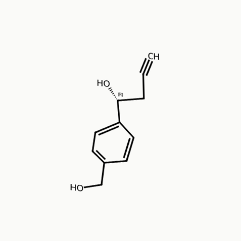 C#CC[C@@H](O)c1ccc(CO)cc1